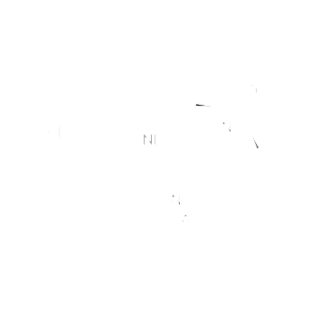 CC(=O)N1c2ccc(N3[C@H](C)COC[C@@H]3C)cc2C(Nc2ccc(Cl)cc2)CC1C